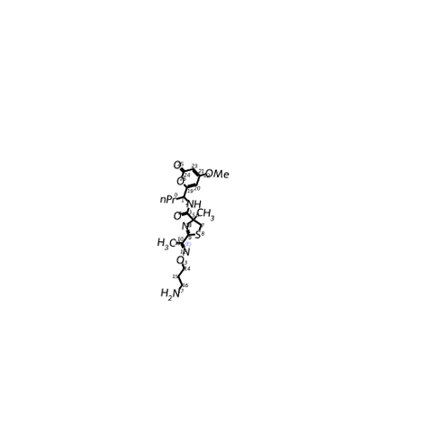 CCCC(NC(=O)C1(C)CSC(/C(C)=N/OCCCN)=N1)c1cc(OC)cc(=O)o1